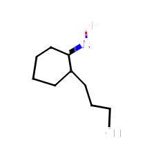 CCCCC1CCCCC1=NO